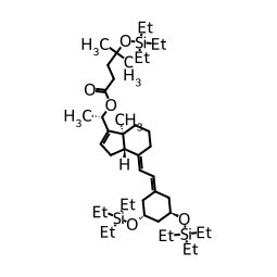 CC[Si](CC)(CC)O[C@@H]1CC(=C/C=C2\CCC[C@]3(C)C([C@H](C)OC(=O)CCC(C)(C)O[Si](CC)(CC)CC)=CC[C@@H]23)C[C@@H](O[Si](CC)(CC)CC)C1